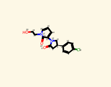 O=C1C[C@H](c2ccc(Cl)cc2)CN1c1cccn(CCO)c1=O